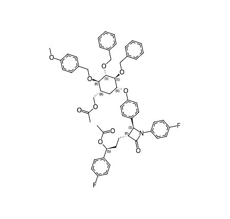 COc1ccc(CO[C@@H]2[C@@H](COC(C)=O)C[C@@H](Oc3ccc([C@@H]4[C@@H](CC[C@H](OC(C)=O)c5ccc(F)cc5)C(=O)N4c4ccc(F)cc4)cc3)[C@H](OCc3ccccc3)[C@H]2OCc2ccccc2)cc1